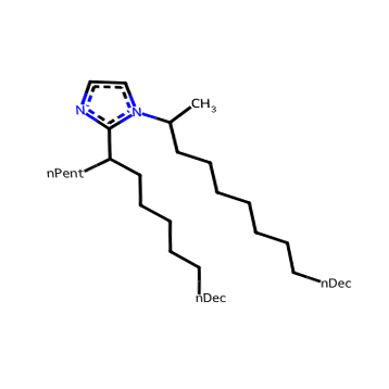 CCCCCCCCCCCCCCCCCC(C)n1ccnc1C(CCCCC)CCCCCCCCCCCCCCC